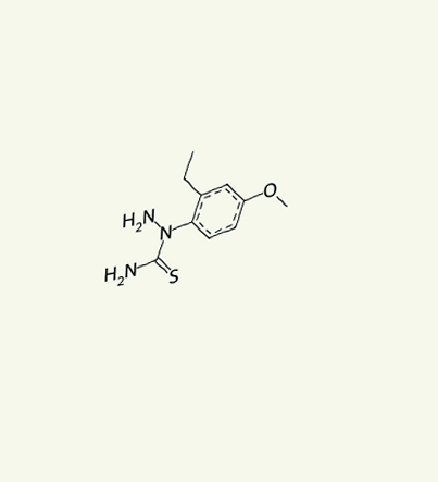 CCc1cc(OC)ccc1N(N)C(N)=S